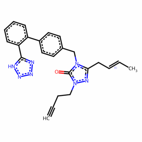 C#CCCn1nc(C/C=C/C)n(Cc2ccc(-c3ccccc3-c3nnn[nH]3)cc2)c1=O